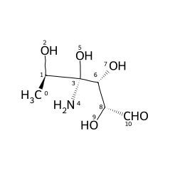 C[C@@H](O)[C@@](N)(O)[C@H](O)[C@@H](O)C=O